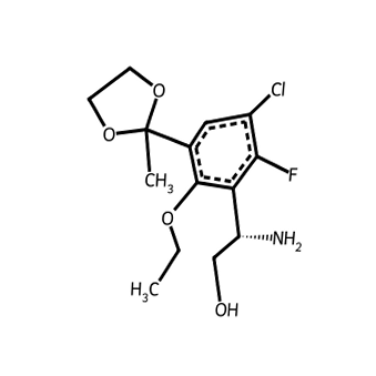 CCOc1c(C2(C)OCCO2)cc(Cl)c(F)c1[C@H](N)CO